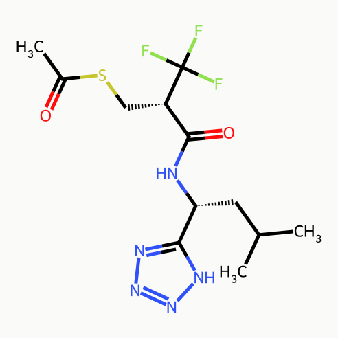 CC(=O)SC[C@@H](C(=O)N[C@H](CC(C)C)c1nnn[nH]1)C(F)(F)F